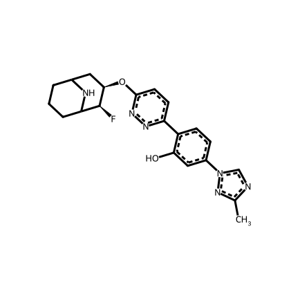 Cc1ncn(-c2ccc(-c3ccc(O[C@@H]4CC5CCCC(N5)[C@@H]4F)nn3)c(O)c2)n1